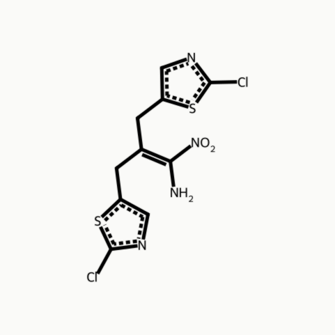 NC(=C(Cc1cnc(Cl)s1)Cc1cnc(Cl)s1)[N+](=O)[O-]